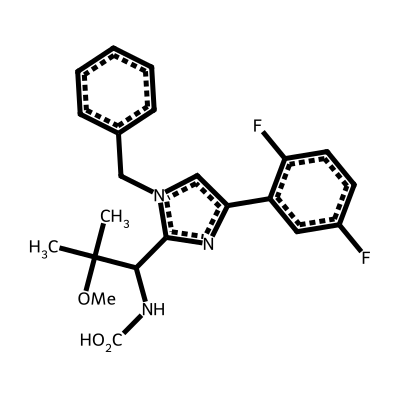 COC(C)(C)C(NC(=O)O)c1nc(-c2cc(F)ccc2F)cn1Cc1ccccc1